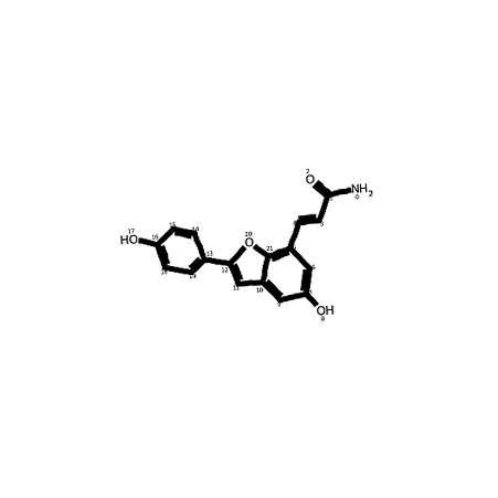 NC(=O)C=Cc1cc(O)cc2cc(-c3ccc(O)cc3)oc12